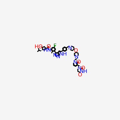 Cc1c(NC(=O)C2C[C@H](CC(C)C)[C@@H](O)C2)cc(F)cc1-c1ncnc2[nH]c(-c3ccc(CN4CCC(OC5CCN(CCn6cccc(CN7CCC(=O)NC7=O)c6=O)CC5)CC4)cc3)cc12